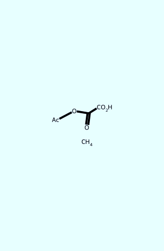 C.CC(=O)OC(=O)C(=O)O